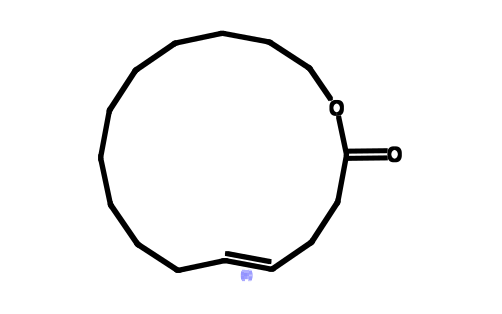 O=C1CC/C=C/CCCCCCCCCCO1